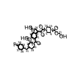 O=C(C(=O)N1CCN(C(=O)OCO)CC1)c1cn(O)c2cc(OO)c(C(=O)N3CCC(Cc4ccc(F)cc4)CC3)cc12